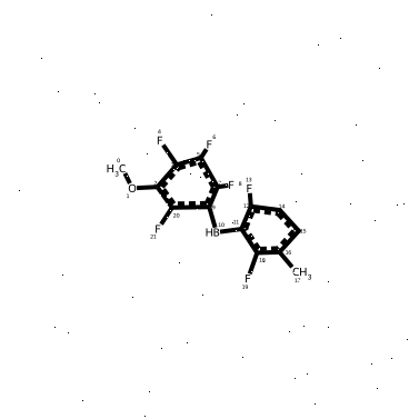 COc1c(F)c(F)c(F)c(Bc2c(F)ccc(C)c2F)c1F